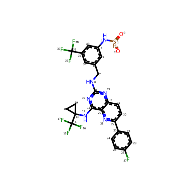 O=[SH](=O)Nc1cc(CNc2nc(NC3(C(F)(F)F)CC3)c3nc(-c4ccc(F)cc4)ccc3n2)cc(C(F)(F)F)c1